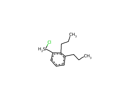 CCCc1cccc([SiH2]Cl)c1CCC